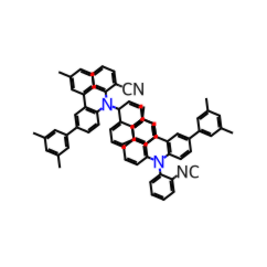 [C-]#[N+]c1ccccc1N(C1=C2C=CC3=C4C(=CC=C(C=C1)C24)C(N(c1ccccc1C#N)c1ccc(-c2cc(C)cc(C)c2)cc1-c1cccc(C)c1)C=C3)c1ccc(-c2cc(C)cc(C)c2)cc1-c1cc(C)cc(C)c1